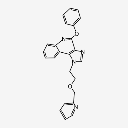 c1ccc(Oc2nc3ccccc3c3c2ncn3CCOCc2ccccn2)cc1